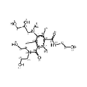 CC(=O)N(CC(O)CO)c1c(I)c(C(=O)NCCO)c(I)c(C(=O)N(CCO)CCO)c1I